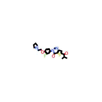 CC(C)C(=O)c1cc2ncn(-c3ccc(OCCN4CCCC4)c(F)c3)c(=O)c2s1